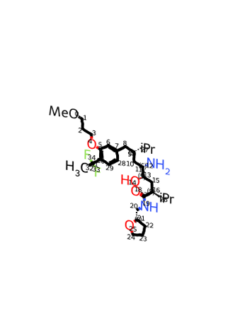 COCCCOc1cc(C[C@@H](C[C@H](N)[C@@H](O)C[C@H](C(=O)NC[C@@H]2CCCO2)C(C)C)C(C)C)ccc1C(C)(F)F